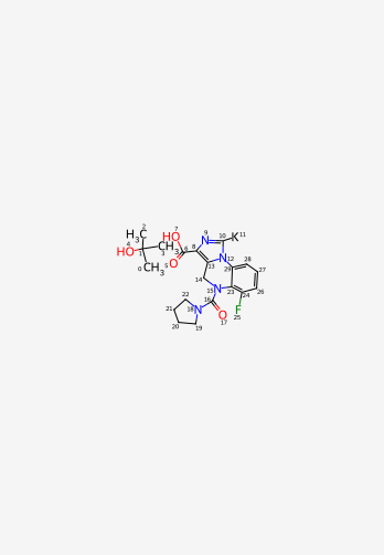 CC(C)(C)O.O=C(O)c1n[c]([K])n2c1CN(C(=O)N1CCCC1)c1c(F)cccc1-2